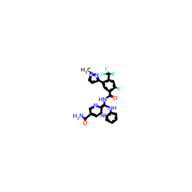 Cn1ccc(-c2cc(C(=O)N/C(Nc3ccccc3)=C3\N=CC(C(N)=O)=CC3=N)c(F)cc2C(F)(F)F)n1